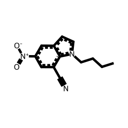 CCCCn1ccc2cc([N+](=O)[O-])cc(C#N)c21